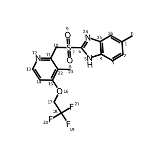 Cc1ccc2[nH]c(S(=O)(=O)Cc3nccc(OCC(F)(F)F)c3C)nc2c1